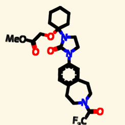 COC(=O)COC1(N2CCN(c3ccc4c(c3)CCN(C(=O)C(F)(F)F)CC4)C2=O)CCCCC1